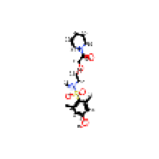 COc1cc(C)c(S(=O)(=O)N(C)CCOCC(=O)N2CCCCC2)c(C)c1